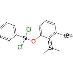 C[SiH](C)c1c(O[Si](Cl)(Cl)c2ccccc2)cccc1C(C)(C)C